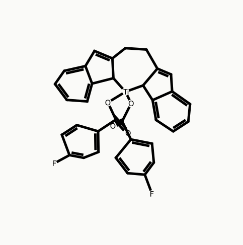 O=C([O][Ti]1([O]C(=O)c2ccc(F)cc2)[CH]2C(=Cc3ccccc32)CCC2=Cc3ccccc3[CH]21)c1ccc(F)cc1